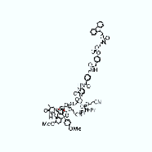 COc1ccc(C(OCC2OC(n3cc(C)c(=O)[nH]c3=O)CC2OP(OCCC#N)OCC2OC(n3ccc(NC(=O)c4ccc(CNC(=O)Cc5ccc(OC(=O)OCCN(C)C(=O)OCC6c7ccccc7-c7ccccc76)cc5)cc4)nc3=O)CC2OP(OCCC#N)N(C(C)C)C(C)C)(c2ccccc2)c2ccc(OC)cc2)cc1